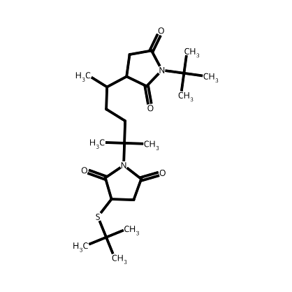 CC(CCC(C)(C)N1C(=O)CC(SC(C)(C)C)C1=O)C1CC(=O)N(C(C)(C)C)C1=O